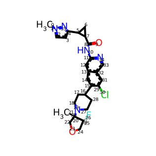 Cn1ccc(C2CC2C(=O)Nc2cc3cc(C4CCN([C@@]5(C)COC[C@H]5F)CC4)c(Cl)cc3cn2)n1